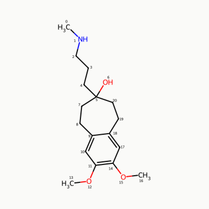 CNCCCC1(O)CCc2cc(OC)c(OC)cc2CC1